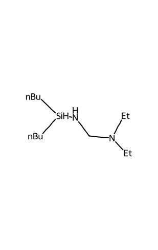 CCCC[SiH](CCCC)NCN(CC)CC